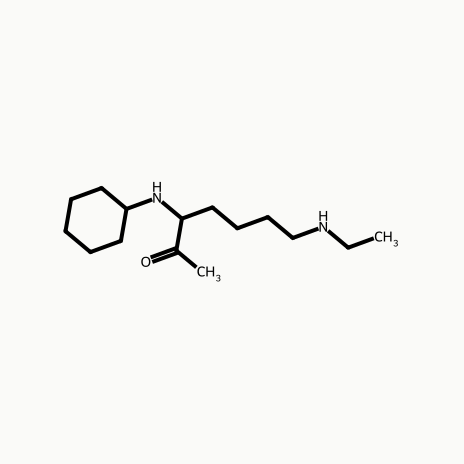 CCNCCCCC(NC1CCCCC1)C(C)=O